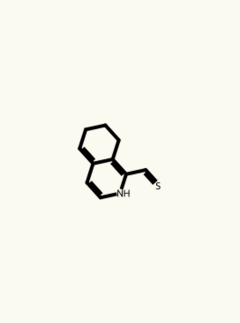 S=CC1=C2CCCC=C2C=CN1